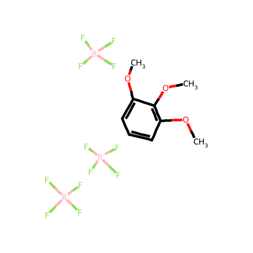 COc1cccc(OC)c1OC.F[B-](F)(F)F.F[B-](F)(F)F.F[B-](F)(F)F